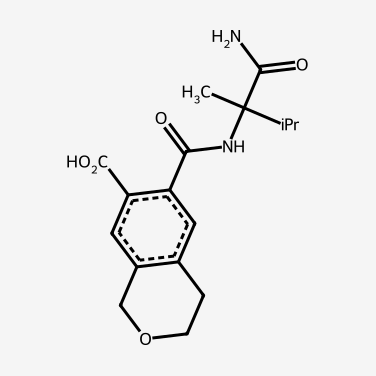 CC(C)C(C)(NC(=O)c1cc2c(cc1C(=O)O)COCC2)C(N)=O